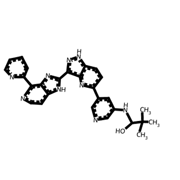 CC(C)(C)C(O)Nc1cncc(-c2ccc3[nH]nc(-c4nc5c(-c6ccccn6)nccc5[nH]4)c3n2)c1